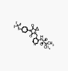 CN(C)S(=O)(=O)Nc1cnccc1CN1C(=O)N(c2ccc(SC(F)(F)F)cc2)C(=O)C12CC2